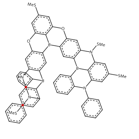 CSc1cc2c3c(c1)Oc1cc4c(cc1B3c1cc3c(cc1O2)Nc1cc(SC)cc2c1B3c1ccccc1N2c1ccccc1)B1c2ccccc2N(c2ccccc2)c2cc(SC)cc(c21)N4SC